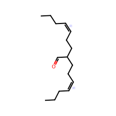 CCC/C=C\CCC(C=O)CC/C=C\CCC